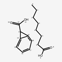 CCCCCCCC(=O)O.O=C(O)C1c2ccccc21